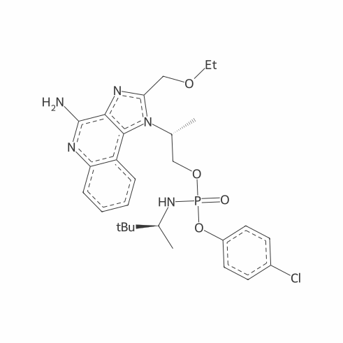 CCOCc1nc2c(N)nc3ccccc3c2n1[C@H](C)COP(=O)(N[C@@H](C)C(C)(C)C)Oc1ccc(Cl)cc1